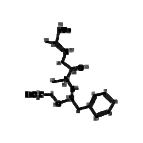 CCOC(=O)CON(Cc1ccccc1)SN(C)C(=O)CN=C(C)SC